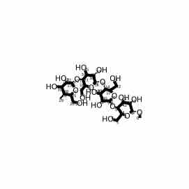 CO[C@@H]1OC(CO)[C@@H](O[C@@H]2OC(CO)[C@@H](O[C@@H]3OC(CO)[C@@H](O[C@@H]4OC(CO)[C@@H](C)C(O)[C@@H]4O)C(O)[C@@H]3O)C(O)[C@@H]2O)C(O)[C@@H]1O